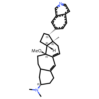 CO[C@]12CCC3C[C@H](N(C)C)CCC3=CC1=CC[C@]1(C)[C@@H](c3ccc4ccncc4c3)CC[C@H]12